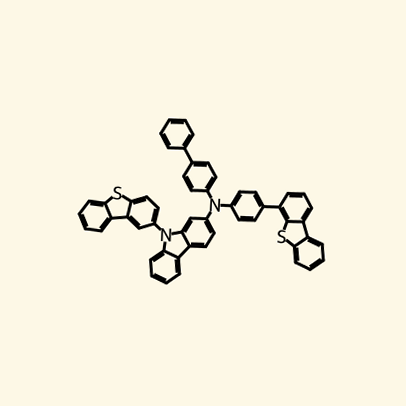 c1ccc(-c2ccc(N(c3ccc(-c4cccc5c4sc4ccccc45)cc3)c3ccc4c5ccccc5n(-c5ccc6sc7ccccc7c6c5)c4c3)cc2)cc1